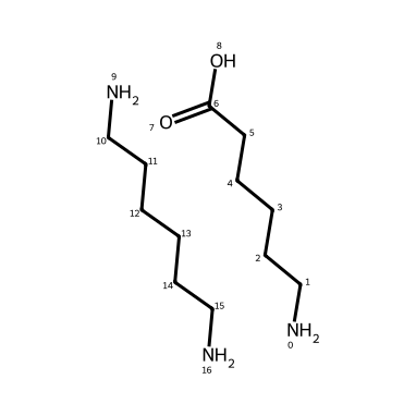 NCCCCCC(=O)O.NCCCCCCN